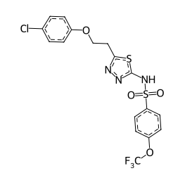 O=S(=O)(Nc1nnc(CCOc2ccc(Cl)cc2)s1)c1ccc(OC(F)(F)F)cc1